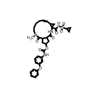 CN1CCCCC=CC2CC2(C(=O)NS(=O)(=O)C2CC2)NC(=O)C2CC(OC(=O)Nc3cccc(Oc4ccccc4)c3)CC2C1=O